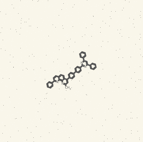 Cc1cc(-c2ccc(-c3ccc(-c4nc(-c5ccccc5)cc(-c5ccccc5)n4)cc3)cc2)c2ccc3ccc(-c4ccccc4)nc3c2n1